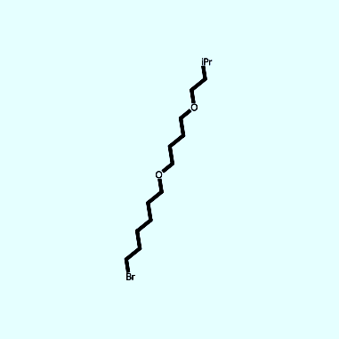 CC(C)CCOCCCCOCCCCCCBr